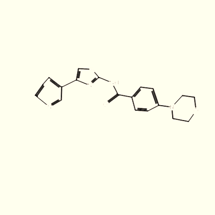 O=C(Nc1nc(-c2cccnc2)cs1)c1ccc(N2CCOCC2)cc1